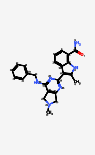 Cc1[nH]c2c(C(N)=O)cccc2c1-c1nc2c(c(NCc3ccccc3)n1)CN(C)C2